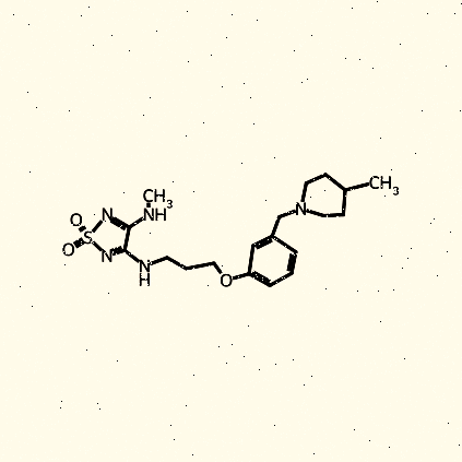 CNC1=NS(=O)(=O)N=C1NCCCOc1cccc(CN2CCC(C)CC2)c1